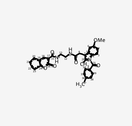 COc1ccc2c(c1)c(CC(=O)NCCNC(=O)c1cc3ccccc3oc1=O)c(C)n2C(=O)c1ccc(C)cc1